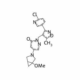 COC12CC1CN(c1cnn(Cc3c(-c4ccc(Cl)nc4)noc3C)c(=O)c1)C2